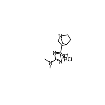 CN(C)c1nsc(C2CN3CCC2C3)n1.Cl.Cl